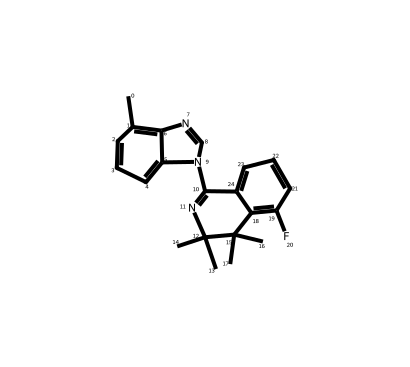 Cc1cccc2c1ncn2C1=NC(C)(C)C(C)(C)c2c(F)cccc21